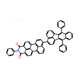 O=C1c2ccc3c4cccc5c(-c6ccc7c8c(cccc68)-c6c-7c(-c7ccccc7)c7ccccc7c6-c6ccccc6)ccc(c6ccc(c2c36)C(=O)N1c1ccccc1)c54